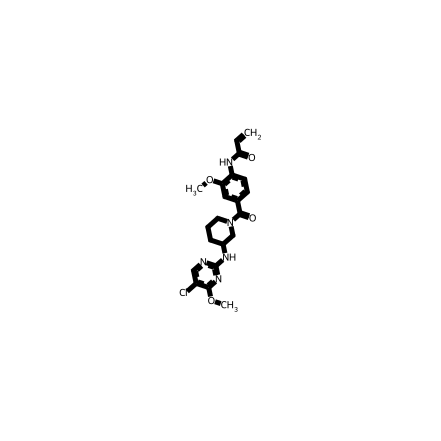 C=CC(=O)Nc1ccc(C(=O)N2CCCC(Nc3ncc(Cl)c(OC)n3)C2)cc1OC